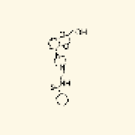 OCC1COc2c(cccc2N2CCN(CCNC(=S)C3CCCCC3)CC2)O1